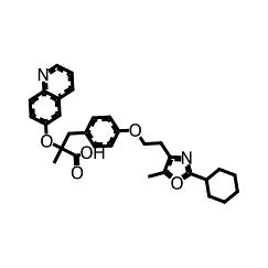 Cc1oc(C2CCCCC2)nc1CCOc1ccc(CC(C)(Oc2ccc3ncccc3c2)C(=O)O)cc1